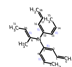 C=C/C=C(\C=C/C)N(/C(C)=C/C)C(/C=C\C)=C/C=C